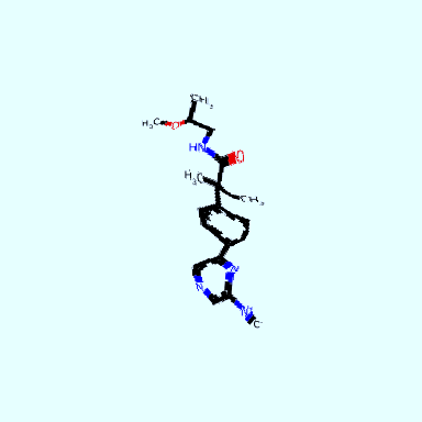 [C-]#[N+]c1cncc(-c2ccc(C(C)(C)C(=O)NCC(C)OC)cc2)n1